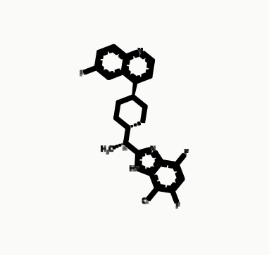 C[C@@H](c1nc2c(F)cc(F)c(Cl)c2[nH]1)[C@H]1CC[C@H](c2ccnc3ccc(F)cc32)CC1